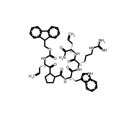 C=CC[C@H](NC(=O)[C@H](CCCNC(=N)N)NC(=O)[C@H](Cc1c[nH]c2ccccc12)NC(=O)C1CCCC1C(=O)[C@H](CC=C)NC(=O)OCC1c2ccccc2-c2ccccc21)C(N)=O